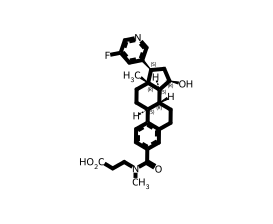 CN(CCC(=O)O)C(=O)c1ccc2c(c1)CC[C@H]1[C@@H]3[C@H](O)C[C@H](c4cncc(F)c4)[C@@]3(C)CC[C@H]21